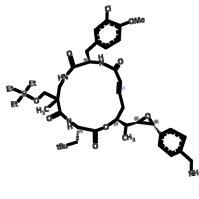 CC[Si](CC)(CC)OCC1(C)CNC(=O)[C@@H](Cc2ccc(OC)c(Cl)c2)NC(=O)/C=C/C[C@@H](C(C)[C@H]2O[C@@H]2c2ccc(CN)cc2)OC(=O)[C@H](CC(C)(C)C)NC1=O